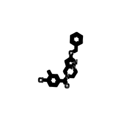 Cc1cc(C(=O)N2CCn3nc(OCc4ccccc4)cc3C2)ccc1Cl